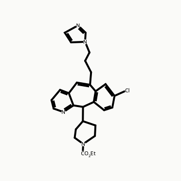 CCOC(=O)N1CCC(C2c3ccc(Cl)cc3C(CCCn3ccnc3)=Cc3cccnc32)CC1